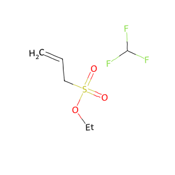 C=CCS(=O)(=O)OCC.FC(F)F